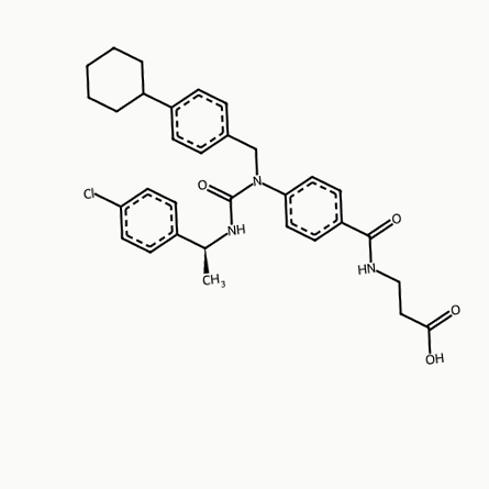 C[C@H](NC(=O)N(Cc1ccc(C2CCCCC2)cc1)c1ccc(C(=O)NCCC(=O)O)cc1)c1ccc(Cl)cc1